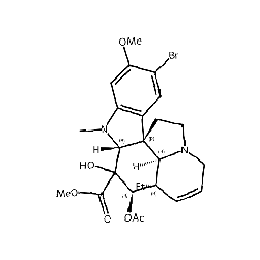 CC[C@]12C=CCN3CC[C@@]4(c5cc(Br)c(OC)cc5N(C)[C@H]4C(O)(C(=O)OC)[C@@H]1OC(C)=O)[C@@H]32